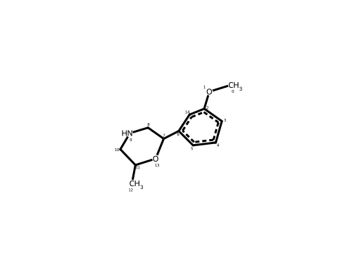 COc1cccc(C2CNCC(C)O2)c1